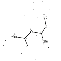 CCOC(OC(C)C(C)(C)C)C(C)(C)C